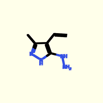 C=Cc1c(C)n[nH]c1NN